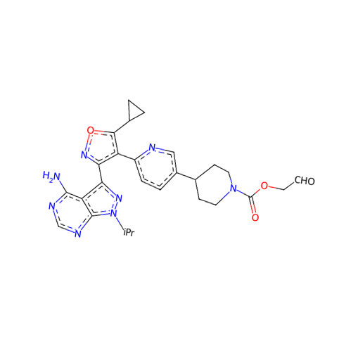 CC(C)n1nc(-c2noc(C3CC3)c2-c2ccc(C3CCN(C(=O)OCC=O)CC3)cn2)c2c(N)ncnc21